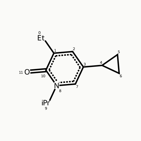 CCc1cc(C2CC2)cn(C(C)C)c1=O